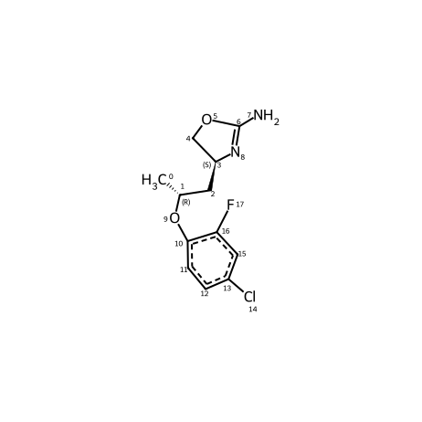 C[C@H](C[C@H]1COC(N)=N1)Oc1ccc(Cl)cc1F